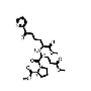 COC(=O)CC[C@H](NC(CCCC(=O)c1cccs1)C(=O)OC)C(=O)N1CCC[C@H]1C(=O)OC